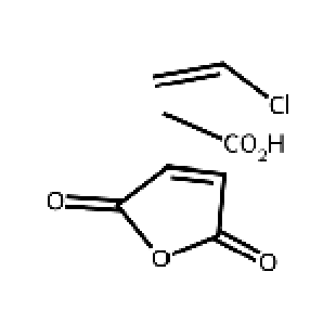 C=CCl.CC(=O)O.O=C1C=CC(=O)O1